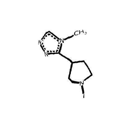 Cn1cnnc1C1CCN(I)C1